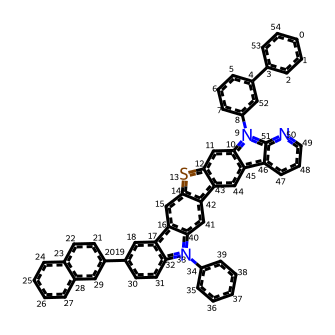 c1ccc(-c2cccc(-n3c4cc5sc6cc7c8cc(-c9ccc%10ccccc%10c9)ccc8n(-c8ccccc8)c7cc6c5cc4c4cccnc43)c2)cc1